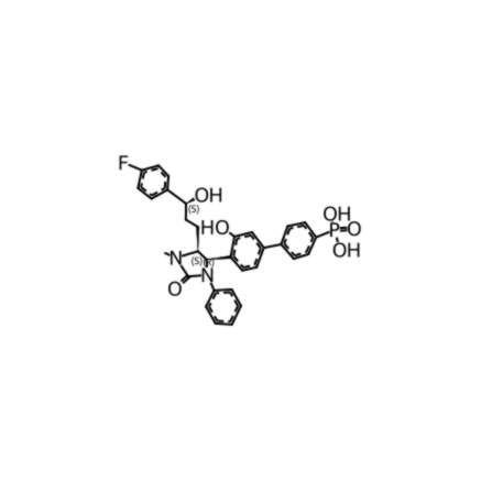 CN1C(=O)N(c2ccccc2)[C@H](c2ccc(-c3ccc(P(=O)(O)O)cc3)cc2O)[C@@H]1CC[C@H](O)c1ccc(F)cc1